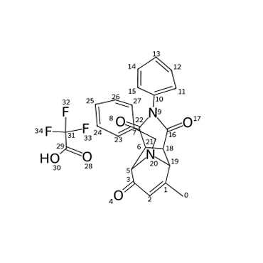 CC1=CC(=O)C2C3C(=O)N(c4ccccc4)C(=O)C3C1N2Cc1ccccc1.O=C(O)C(F)(F)F